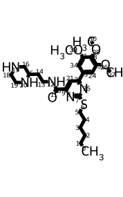 CCCCCCSc1nc(C(=O)NCCC2CNCCN2)cc(-c2cc(OC)c(OC)c(OC)c2)n1